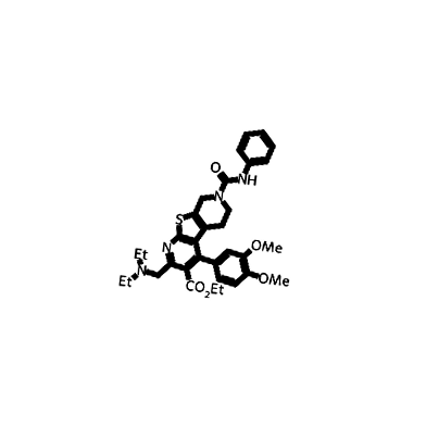 CCOC(=O)c1c(CN(CC)CC)nc2sc3c(c2c1-c1ccc(OC)c(OC)c1)CCN(C(=O)Nc1ccccc1)C3